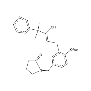 COc1ccc(CN2CCCC2=O)cc1CC=C(O)C(F)(F)c1ccccc1